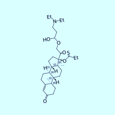 CCC(=S)O[C@]1(C(=O)COC(O)CCN(CC)CC)CC[C@H]2[C@@H]3CCC4=CC(=O)CC[C@]4(C)[C@H]3CC[C@@]21C